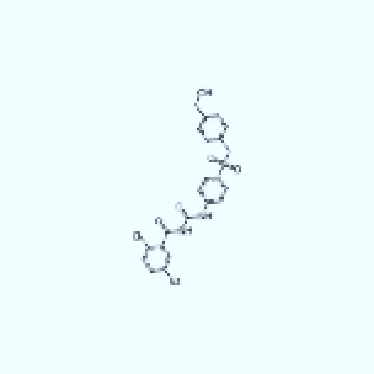 CCc1ccc(Cl)c(C(=O)NC(=O)Nc2ccc(S(=O)(=O)Cc3ccc(CO)cc3)cc2)c1